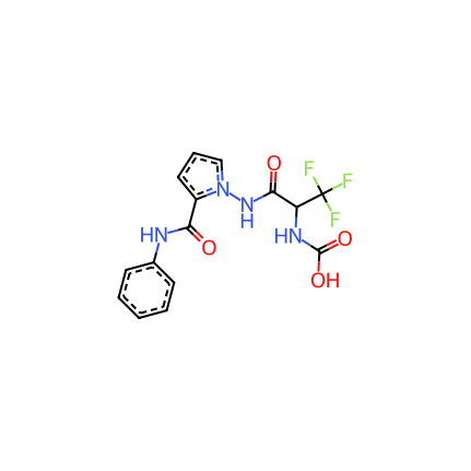 O=C(O)NC(C(=O)Nn1cccc1C(=O)Nc1ccccc1)C(F)(F)F